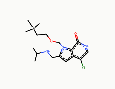 CC(C)NCc1cc2c(Cl)c[nH]c(=O)c2n1COCC[Si](C)(C)C